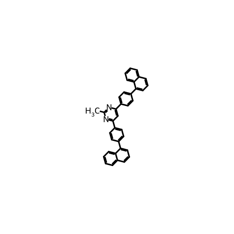 Cc1nc(-c2ccc(-c3cccc4ccccc34)cc2)cc(-c2ccc(-c3cccc4ccccc34)cc2)n1